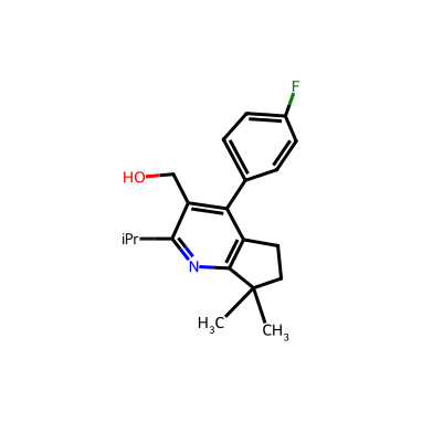 CC(C)c1nc2c(c(-c3ccc(F)cc3)c1CO)CCC2(C)C